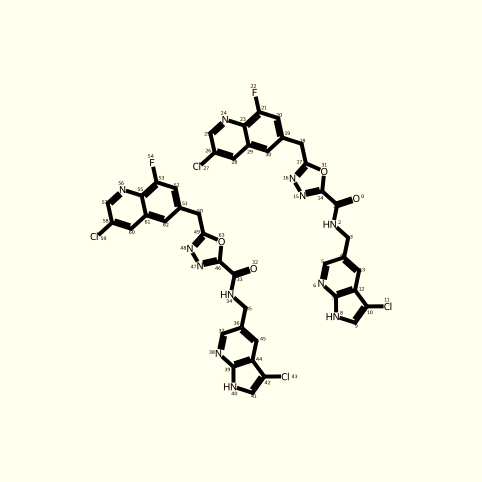 O=C(NCc1cnc2[nH]cc(Cl)c2c1)c1nnc(Cc2cc(F)c3ncc(Cl)cc3c2)o1.O=C(NCc1cnc2[nH]cc(Cl)c2c1)c1nnc(Cc2cc(F)c3ncc(Cl)cc3c2)o1